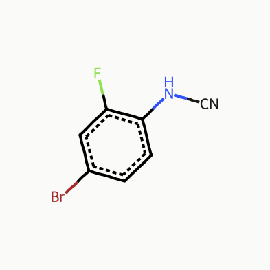 N#CNc1ccc(Br)cc1F